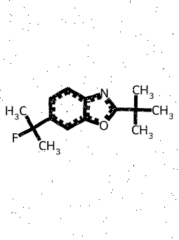 CC(C)(C)c1nc2ccc(C(C)(C)F)cc2o1